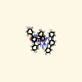 CN1C(n2c3ccccc3c3ccc4c5ccccc5n(-c5ccc(-c6cccc(-c7ccccc7)n6)cc5)c4c32)=NC(c2ccccc2)=NC1c1ccccc1-c1ccccc1